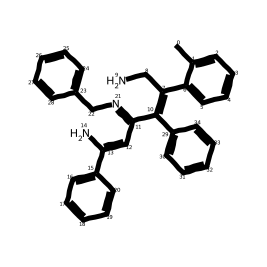 Cc1ccccc1/C(CN)=C(C(/C=C(\N)c1ccccc1)=N/Cc1ccccc1)\c1ccccc1